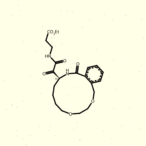 CCOC(=O)CCNC(=O)C(=O)[C@@H]1CCCCOCCOCc2ccccc2C(=O)N1